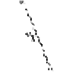 C=CC.CCCCCCCCCCOCCCCCCCCCC